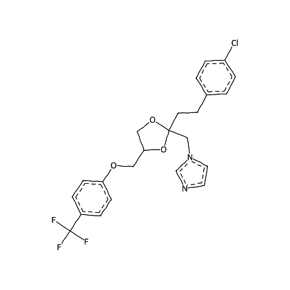 FC(F)(F)c1ccc(OCC2COC(CCc3ccc(Cl)cc3)(Cn3ccnc3)O2)cc1